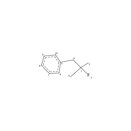 CC(C)(F)Cc1ccccc1